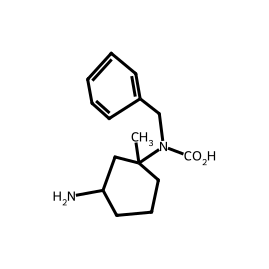 CC1(N(Cc2ccccc2)C(=O)O)CCCC(N)C1